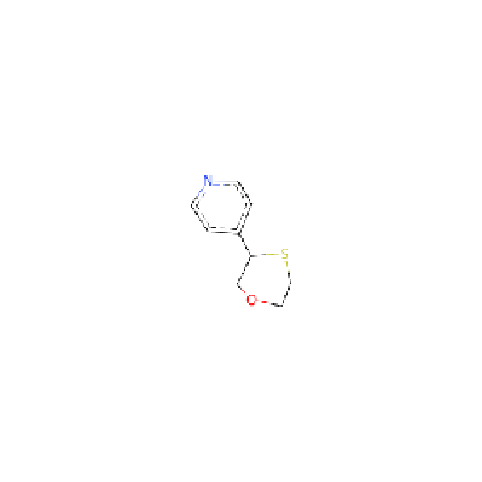 c1cc(C2COCCS2)ccn1